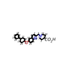 O=C(O)C1CCN(Cc2ccc3cc(OC4CCC(c5ccccc5)CC4)ccc3n2)CC1